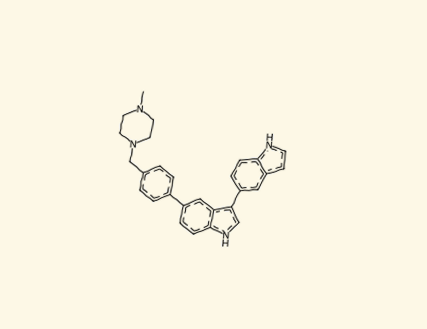 CN1CCN(Cc2ccc(-c3ccc4[nH]cc(-c5ccc6[nH]ccc6c5)c4c3)cc2)CC1